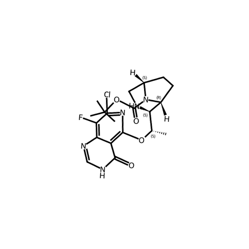 C[C@H](Oc1nc(Cl)c(F)c2nc[nH]c(=O)c12)[C@H]1NC[C@@H]2CC[C@H]1N2C(=O)OC(C)(C)C